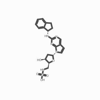 O=S(=O)(O)NC[C@@H]1O[C@@H](n2ccc3cnc(N[C@H]4CCc5ccccc54)nc32)C[C@@H]1O